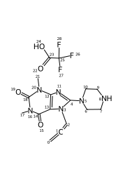 C=C=Cn1c(N2CCNCC2)nc2c1c(=O)n(C)c(=O)n2C.O=C(O)C(F)(F)F